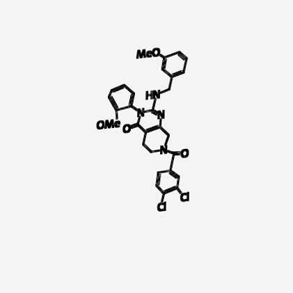 COc1cccc(CNc2nc3c(c(=O)n2-c2ccccc2OC)CCN(C(=O)c2ccc(Cl)c(Cl)c2)C3)c1